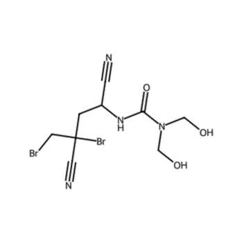 N#CC(CC(Br)(C#N)CBr)NC(=O)N(CO)CO